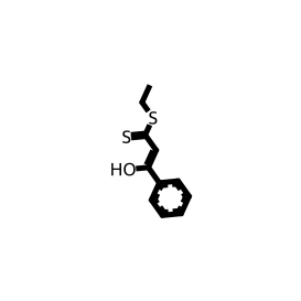 CCSC(=S)C=C(O)c1ccccc1